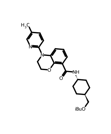 Cc1ccc(N2CCOc3c(C(=O)N[C@H]4CC[C@H](COCC(C)C)CC4)cccc32)nc1